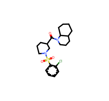 O=C(C1CCCN(S(=O)(=O)c2ccccc2Cl)C1)N1CCCC2CCCCC21